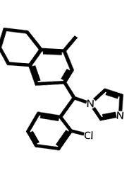 Cc1cc(C(c2ccccc2Cl)n2ccnc2)cc2c1CCCC2